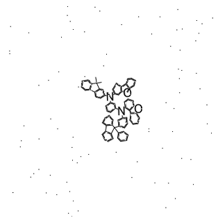 CC1(C)c2ccccc2-c2ccc(N(c3cccc(N(c4cccc(C5(c6ccccc6)c6ccccc6-c6ccccc65)c4)c4cccc5oc6ccccc6c45)c3)c3ccc4c(c3)oc3ccccc34)cc21